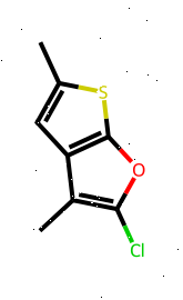 Cc1cc2c(C)c(Cl)oc2s1